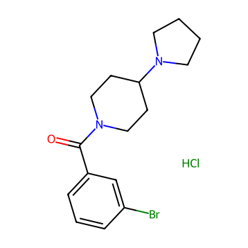 Cl.O=C(c1cccc(Br)c1)N1CCC(N2CCCC2)CC1